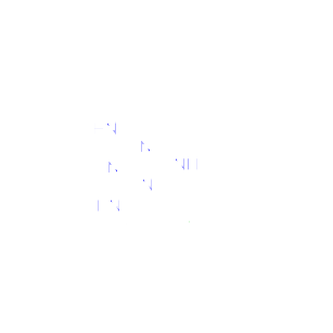 Clc1cccc2ccc(Nc3nc(Nc4cccc5ccccc45)nc(Nc4cccc5ccccc45)n3)cc12